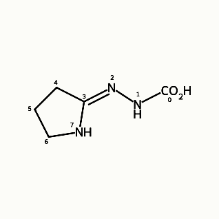 O=C(O)NN=C1CCCN1